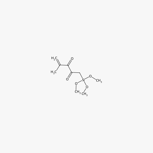 C=C(C)C(=O)C(=O)C[Si](OC)(OC)OC